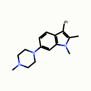 Cc1c(C(C)C)c2ccc(N3CCN(C)CC3)cc2n1C